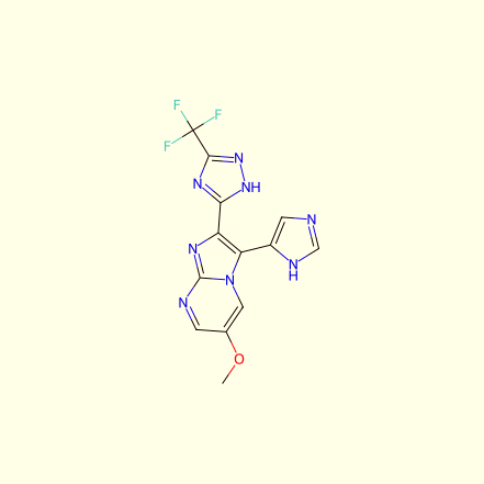 COc1cnc2nc(-c3nc(C(F)(F)F)n[nH]3)c(-c3cnc[nH]3)n2c1